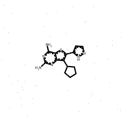 Nc1nc(N)c2sc(-c3ccn[nH]3)c(C3CCCC3)c2n1